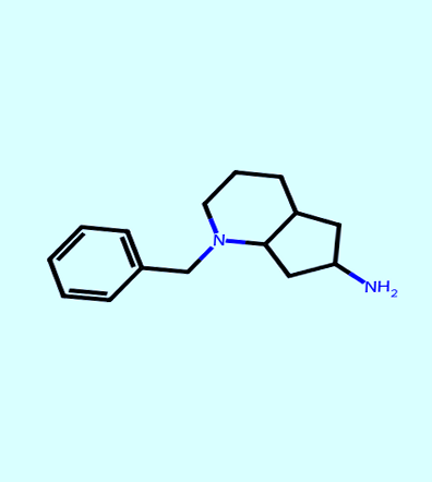 NC1CC2CCCN(Cc3ccccc3)C2C1